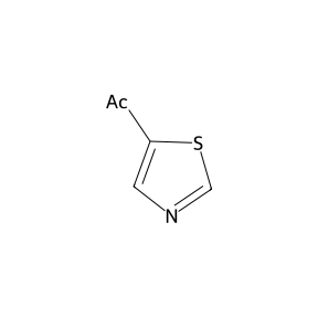 CC(=O)c1cncs1